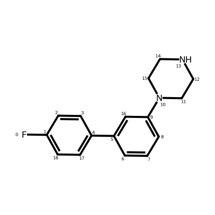 Fc1ccc(-c2cccc(N3CCNCC3)c2)cc1